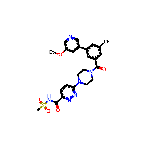 CCOc1cncc(-c2cc(C(=O)N3CCN(c4ccc(C(=O)NS(C)(=O)=O)nn4)CC3)cc(C(F)(F)F)c2)c1